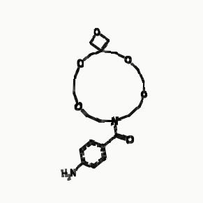 Nc1ccc(C(=O)N2CCOCCOCC3(COCCOCC2)COC3)cc1